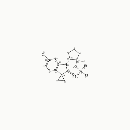 CC[Si](CC)(CC)O[C@]1(C)CCC[C@H]1N1C(=O)C2(CC2)c2cnc(Cl)nc21